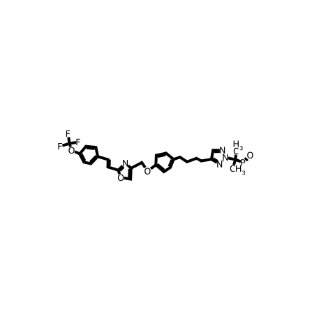 CC(C)(P=O)n1ncc(CCCCc2ccc(OCc3coc(C=Cc4ccc(OC(F)(F)F)cc4)n3)cc2)n1